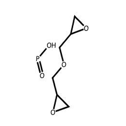 C(OCC1CO1)C1CO1.O=PO